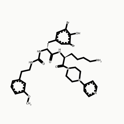 COc1cccc(CCNC(=O)N[C@H](Cc2cc(Br)c(O)c(Br)c2)C(=O)N[C@@H](CCCCN)C(=O)N2CCN(c3ccncc3)CC2)c1